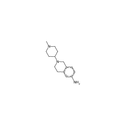 CN1CCC(N2CCc3cc(N)ccc3C2)CC1